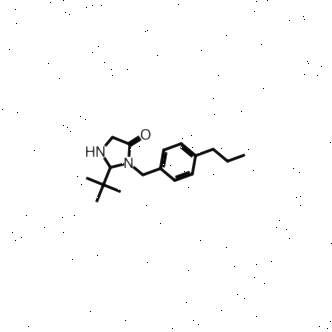 CCCc1ccc(CN2C(=O)CNC2C(C)(C)C)cc1